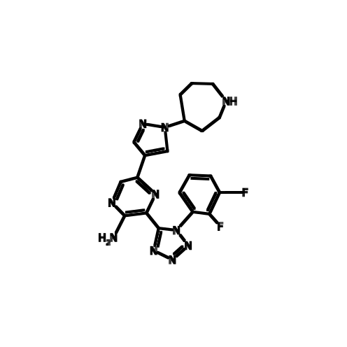 Nc1ncc(-c2cnn(C3CCCNCC3)c2)nc1-c1nnnn1-c1cccc(F)c1F